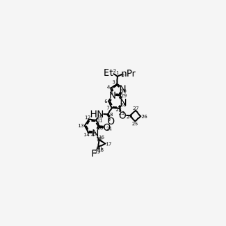 CCCC(CC)c1cn2cc(C(=O)Nc3cccn([C@H]4C[C@H]4F)c3=O)c(OC3CCC3)nc2n1